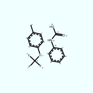 Cc1ccc(OC(F)(F)F)cc1.O=C(O)Nc1ccccc1